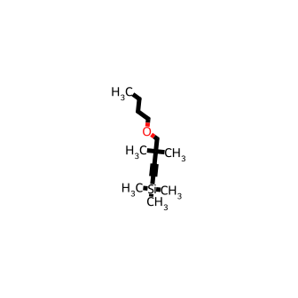 CCCCOCC(C)(C)C#C[Si](C)(C)C